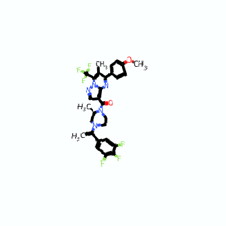 C=C(c1cc(F)c(F)c(F)c1)N1CCN(C(=O)c2cnn3c(C(F)(F)F)c(C)c(-c4ccc(OC)cc4)nc23)[C@H](C)C1